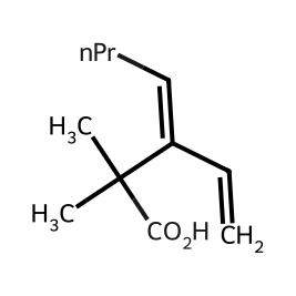 C=CC(=CCCC)C(C)(C)C(=O)O